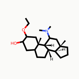 CCOC1C[C@@]2(C)C(CC[C@@H]3[C@H]2C(N(C)C)C[C@]2(C)CCC[C@@H]32)CC1O